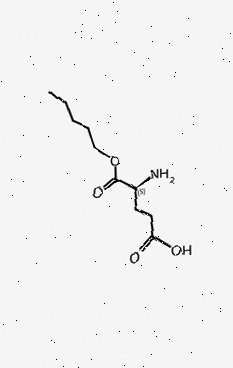 CCCCCOC(=O)[C@@H](N)CCC(=O)O